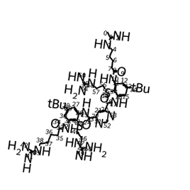 CC(=N)NCCCCC(=O)Nc1cc(C(C)(C)C)cc(NC(=O)c2cc(C(=O)Nc3cc(C(C)(C)C)cc(NC(=O)CCCCNC(=N)N)c3SCCNC(=N)N)ncn2)c1SCCNC(=N)N